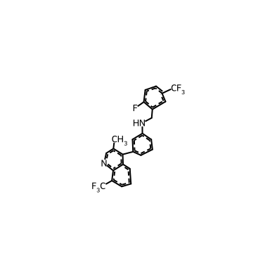 Cc1cnc2c(C(F)(F)F)cccc2c1-c1cccc(NCc2cc(C(F)(F)F)ccc2F)c1